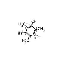 Cc1c(O)c(C)c(C(C)C)c(C)c1Cl